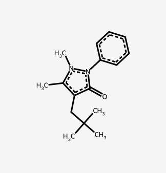 Cc1c(CC(C)(C)C)c(=O)n(-c2ccccc2)n1C